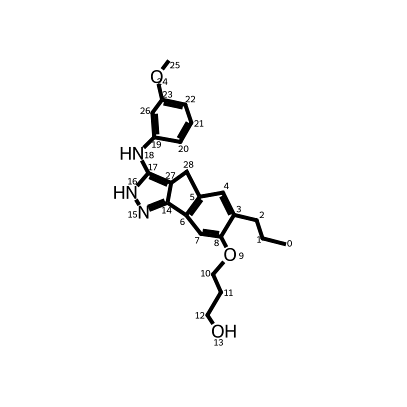 CCCc1cc2c(cc1OCCCO)-c1n[nH]c(Nc3cccc(OC)c3)c1C2